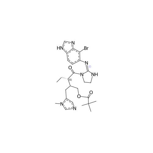 CC[C@H](C(=O)N1CCN/C1=N/c1ccc2[nH]cnc2c1Br)C(COC(=O)C(C)(C)C)Cc1cncn1C